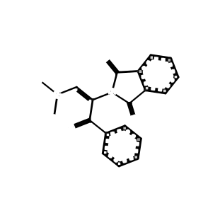 CN(C)C=C(C(=O)c1ccccc1)N1C(=O)c2ccccc2C1=O